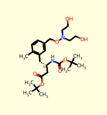 Cc1ccc(CON(CCO)CCO)cc1C[C@@H](CC(=O)OC(C)(C)C)NC(=O)OC(C)(C)C